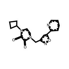 O=c1c(=O)n(C2CCC2)ccn1Cc1cc(-c2ccccn2)on1